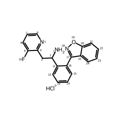 Cl.NC(Cc1ncccc1F)c1ccccc1-c1noc2ccccc12